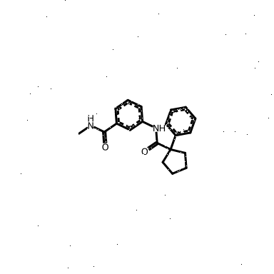 CNC(=O)c1cccc(NC(=O)C2(c3ccccc3)CCCC2)c1